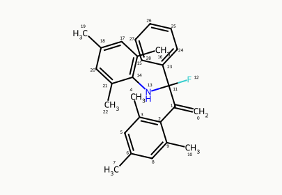 C=C(c1c(C)cc(C)cc1C)C(F)(Nc1c(C)cc(C)cc1C)c1ccccc1